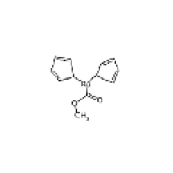 CO[C](=O)[Ru]([CH]1C=CC=C1)[CH]1C=CC=C1